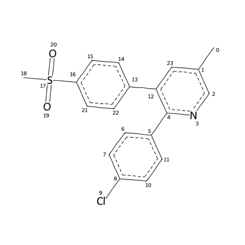 Cc1cnc(-c2ccc(Cl)cc2)c(-c2ccc(S(C)(=O)=O)cc2)c1